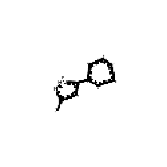 Cc1cc(-c2cc[c]cc2)[nH]n1